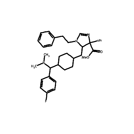 CCCC1(C(=O)OC)N=CN(CCc2ccccc2)C1CC1CCC(C(c2ccc(F)cc2)N(C)C)CC1